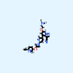 C#Cc1ccc(OC2CN(c3ccc(-c4cc(OCCN(C)C)cn5ncc(C#N)c45)cn3)C2)cn1